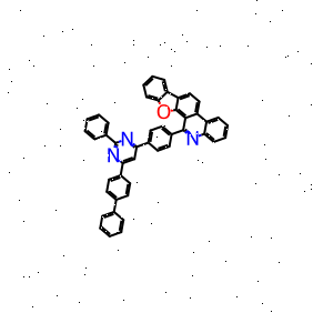 c1ccc(-c2ccc(-c3cc(-c4ccc(-c5nc6ccccc6c6ccc7c8ccccc8oc7c56)cc4)nc(-c4ccccc4)n3)cc2)cc1